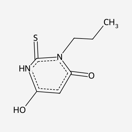 CCCn1c(=O)cc(O)[nH]c1=S